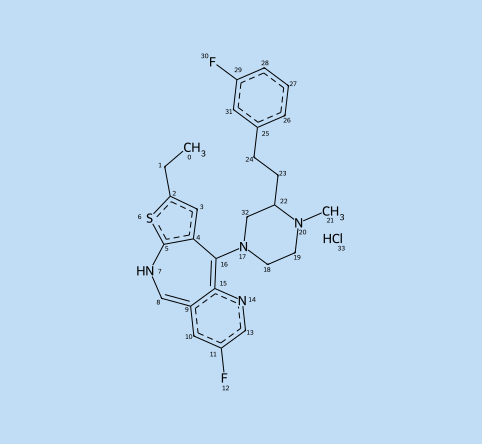 CCc1cc2c(s1)NC=c1cc(F)cnc1=C2N1CCN(C)C(CCc2cccc(F)c2)C1.Cl